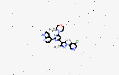 Cc1nn(-c2cncc(Cl)c2)c(C)c1-c1cc(N2CCOC[C@H]2C)nc(-c2ccnc3[nH]ccc23)n1